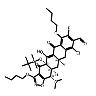 CCCCOc1noc2c1C(=O)[C@@]1(O[Si](C)(C)C(C)(C)C)C(O)=C3C(=O)c4c(c(Cl)c(C=O)c(F)c4OCCCC)C[C@H]3C[C@H]1[C@@H]2N(C)C